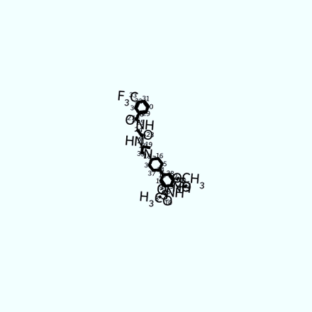 CS(=O)(=O)NC1(NS(C)(=O)=O)C=CC(C2CCC(N3CC(NC(=O)CNC(=O)c4cccc(C(F)(F)F)c4)C3)CC2)C=C1